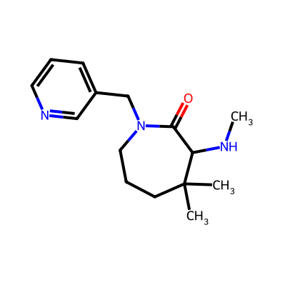 CNC1C(=O)N(Cc2cccnc2)CCCC1(C)C